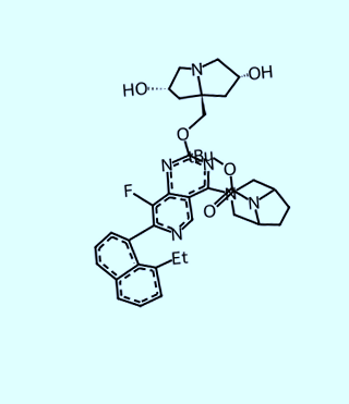 CCc1cccc2cccc(-c3ncc4c(N5CC6CCC(C5)N6C(=O)OC(C)(C)C)nc(OC[C@@]56C[C@H](O)CN5C[C@H](O)C6)nc4c3F)c12